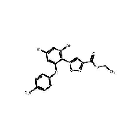 O=C(NCC(F)(F)F)c1cc(-c2c(O)cc(O)cc2Oc2ccc([N+](=O)[O-])cc2)on1